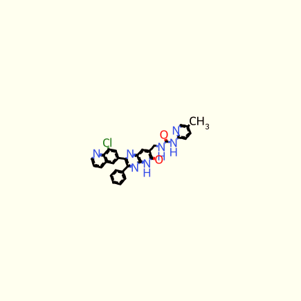 Cc1ccc(NC(=O)NCc2cc3nc(-c4cc(Cl)c5ncccc5c4)c(-c4ccccc4)nc3[nH]c2=O)nc1